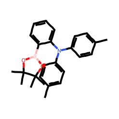 Cc1ccc(N(c2ccc(C)cc2)c2ccccc2B2OC(C)(C)C(C)(C)O2)cc1